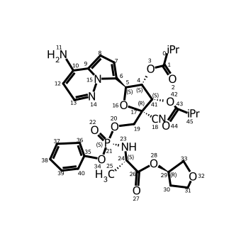 CC(C)C(=O)O[C@H]1[C@H](c2ccc3c(N)ccnn23)O[C@](C#N)(CO[P@@](=O)(N[C@@H](C)C(=O)O[C@@H]2CCOC2)Oc2ccccc2)[C@H]1OC(=O)C(C)C